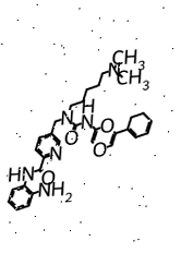 CN(C)CCCCCN(Cc1ccc(C(=O)Nc2ccccc2N)nc1)C(=O)NC1=COC=C(C2=CC=CCC2)O1